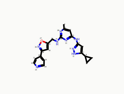 Cc1cc(Nc2cc(C3CC3)[nH]n2)nc(NCc2cc(-c3ccncc3)no2)n1